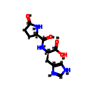 O=C1CC[C@H](C(=O)N[C@@H](Cc2c[nH]cn2)C(=O)O)N1